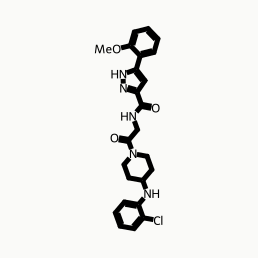 COc1ccccc1-c1cc(C(=O)NCC(=O)N2CCC(Nc3ccccc3Cl)CC2)n[nH]1